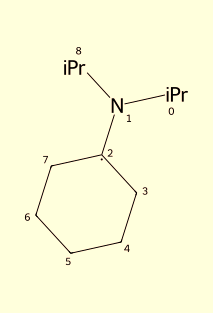 CC(C)N([C]1CCCCC1)C(C)C